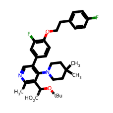 Cc1ncc(-c2ccc(OCCc3ccc(F)cc3)c(F)c2)c(N2CCC(C)(C)CC2)c1C(OC(C)(C)C)C(=O)O